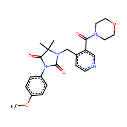 CC1(C)C(=O)N(c2ccc(OC(F)(F)F)cc2)C(=O)N1Cc1ccncc1C(=O)N1CCOCC1